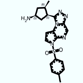 Cc1ccc(S(=O)(=O)n2ccc3c2ncc2nnc([C@H]4C[C@@H](N)C[C@H]4C)n23)cc1